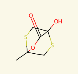 CC12CSC(O)(CS1)C(=O)O2